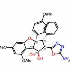 COc1ccc([C@@]23Oc4cc(OC)cc(OC)c4[C@]2(O)[C@H](O)[C@H](c2nnc(N)o2)[C@H]3c2ccccc2)cc1